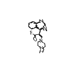 O=C(F)/C(=C\N1CCNCC1)c1ncnc2ccccc12